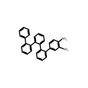 O=[N+]([O-])c1ccc(-c2ccccc2-c2ccccc2-c2ccccc2-c2ccccc2)cc1[N+](=O)[O-]